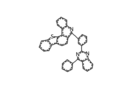 c1ccc(-c2nc(-c3cccc(-c4nc5ccccc5c5c4ccc4c6ccccc6sc45)c3)nc3ccccc23)cc1